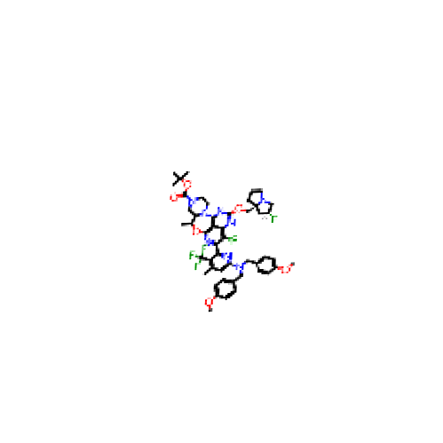 COc1ccc(CN(Cc2ccc(OC)cc2)c2cc(C)c(C(F)(F)F)c(-c3nc4c5c(nc(OC[C@@]67CCCN6C[C@H](F)C7)nc5c3F)N3CCN(C(=O)OC(C)(C)C)CC3C(C)O4)n2)cc1